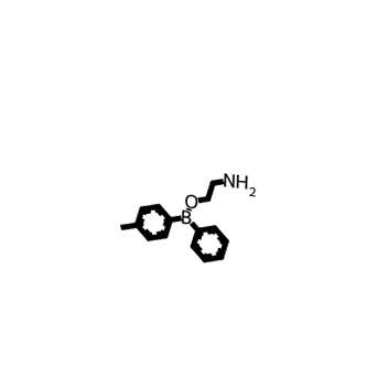 Cc1ccc(B(OCCN)c2ccccc2)cc1